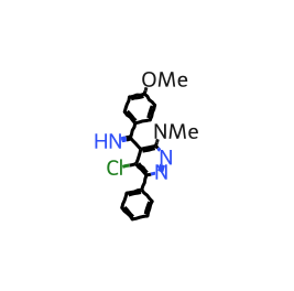 CNc1nnc(-c2ccccc2)c(Cl)c1C(=N)c1ccc(OC)cc1